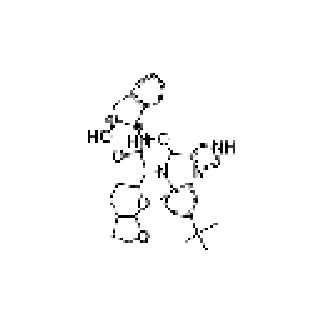 CC(C)(C)c1ccc(N(C(O)c2c[nH]cn2)C(C(=O)N[C@@H]2c3ccccc3C[C@@H]2O)C2CCC3CCOC3O2)cc1